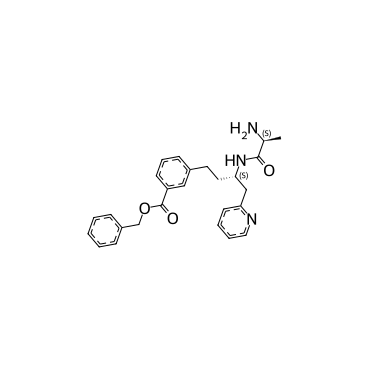 C[C@H](N)C(=O)N[C@@H](CCc1cccc(C(=O)OCc2ccccc2)c1)Cc1ccccn1